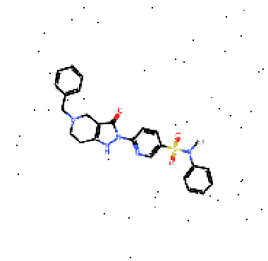 CCN(c1ccccc1)S(=O)(=O)c1ccc(-n2[nH]c3c(c2=O)CN(Cc2ccccc2)CC3)nc1